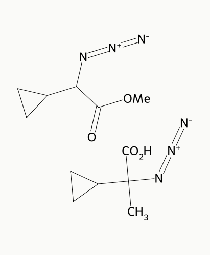 CC(N=[N+]=[N-])(C(=O)O)C1CC1.COC(=O)C(N=[N+]=[N-])C1CC1